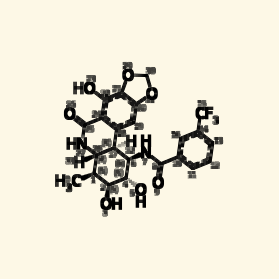 C[C@@H]1[C@H](O)[C@@H](O)[C@H](NC(=O)c2cccc(C(F)(F)F)c2)[C@@H]2c3cc4c(c(O)c3C(=O)N[C@@H]12)OCO4